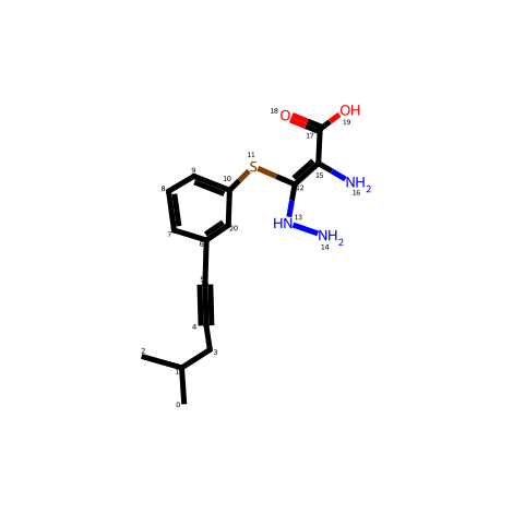 CC(C)CC#Cc1cccc(S/C(NN)=C(/N)C(=O)O)c1